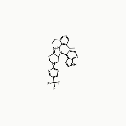 CCc1cccc(CC)c1N1N=C2CCN(c3ncc(C(F)(F)F)cn3)CC2N1c1ccnc2[nH]ccc12